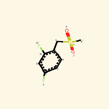 [CH2]S(=O)(=O)Cc1ccc(F)cc1F